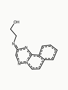 OCCN=c1cnn2ccc3ccccc3c2n1